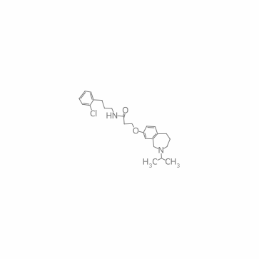 CC(C)N1CCCc2ccc(OCCC(=O)NCCCc3ccccc3Cl)cc2C1